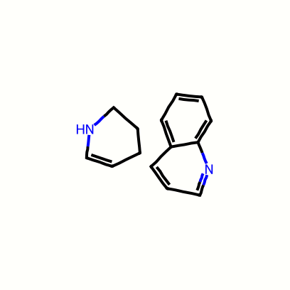 C1=CNCCC1.c1ccc2ncccc2c1